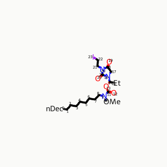 CCCCCCCCCCCCCCCCCCN(OC)C(=O)OC(CC)N1CC(=O)N(CCI)C1=O